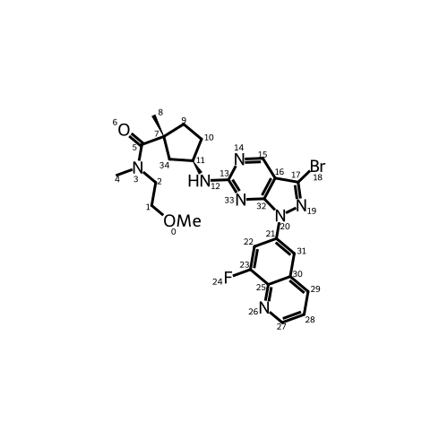 COCCN(C)C(=O)[C@]1(C)CC[C@@H](Nc2ncc3c(Br)nn(-c4cc(F)c5ncccc5c4)c3n2)C1